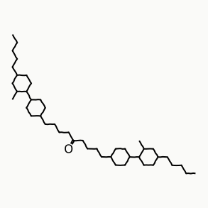 CCCCCC1CCC(C2CCC(CCCCC(=O)CCCCC3CCC(C4CCC(CCCCC)CC4C)CC3)CC2)C(C)C1